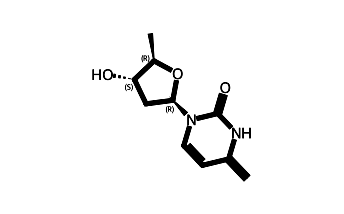 C=C1C=CN([C@H]2C[C@H](O)[C@@H](C)O2)C(=O)N1